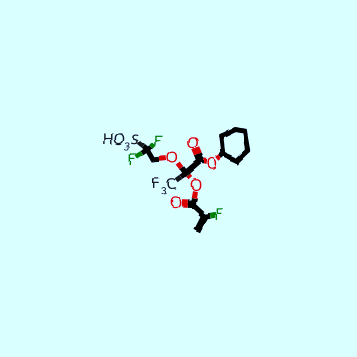 C=C(F)C(=O)OC(OCC(F)(F)S(=O)(=O)O)(C(=O)OC1CCCCC1)C(F)(F)F